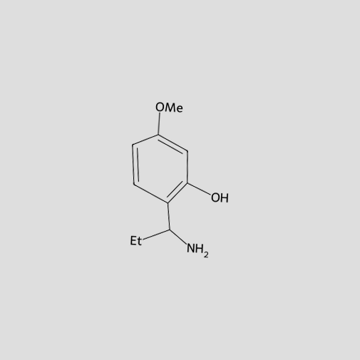 CCC(N)c1ccc(OC)cc1O